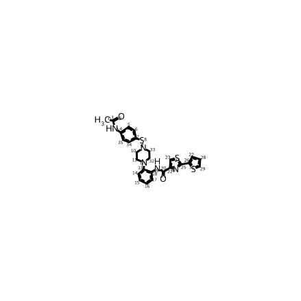 CC(=O)Nc1ccc(SN2CCN(c3ccccc3NC(=O)c3csc(-c4cccs4)n3)CC2)cc1